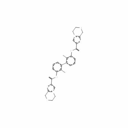 Cc1c(NC(=O)c2cn3c(n2)CNCC3)cccc1-c1cccc(NC(=O)c2cn3c(n2)CNCC3)c1C